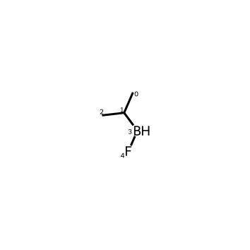 CC(C)BF